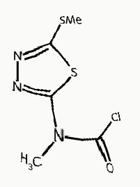 CSc1nnc(N(C)C(=O)Cl)s1